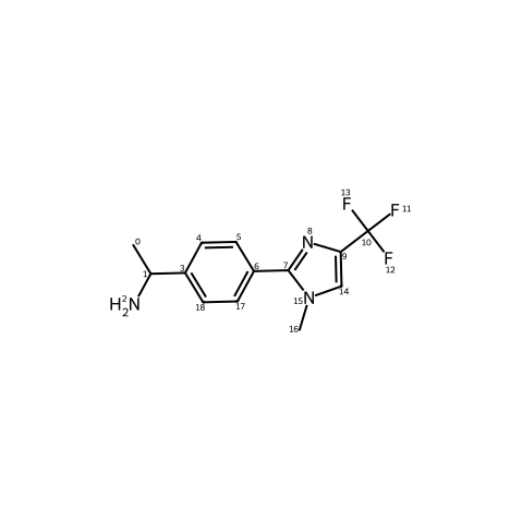 CC(N)c1ccc(-c2nc(C(F)(F)F)cn2C)cc1